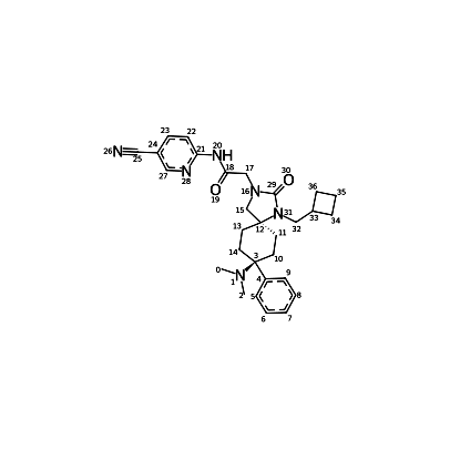 CN(C)[C@]1(c2ccccc2)CC[C@]2(CC1)CN(CC(=O)Nc1ccc(C#N)cn1)C(=O)N2CC1CCC1